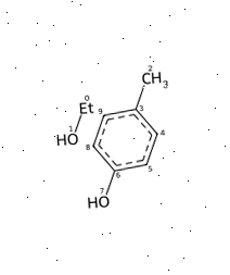 CCO.Cc1ccc(O)cc1